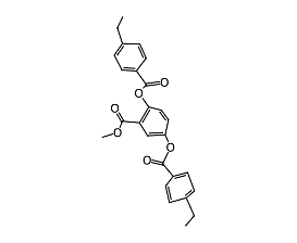 CCc1ccc(C(=O)Oc2ccc(OC(=O)c3ccc(CC)cc3)c(C(=O)OC)c2)cc1